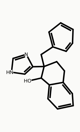 OC1c2ccccc2CCC1(Cc1ccccc1)c1c[nH]cn1